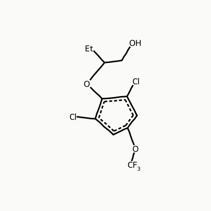 CCC(CO)Oc1c(Cl)cc(OC(F)(F)F)cc1Cl